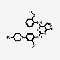 CCOc1cc(N2CCC(O)CC2)ccc1Nc1nc(Nc2ccccc2SC(C)C)c2cn[nH]c2n1